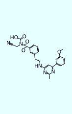 COc1cccc(-c2cc(NCCc3cccc(S(=O)(=O)N(CC#N)C(=O)O)c3)nc(C)n2)c1